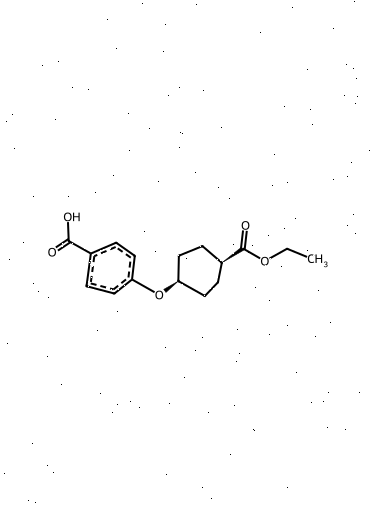 CCOC(=O)[C@H]1CC[C@@H](Oc2ccc(C(=O)O)cc2)CC1